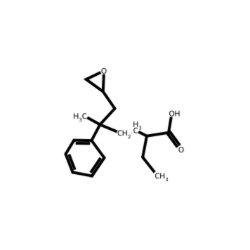 CCC(C)C(=O)O.[CH2]C(C)(CC1CO1)c1ccccc1